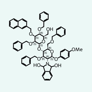 COc1ccc(O[C@@H]2O[C@H](COCc3ccccc3)[C@@H](O[C@@H]3O[C@H](CO)[C@@H](OCc4ccccc4)[C@H](OCc4ccc5ccccc5c4)[C@@H]3OCc3ccccc3)[C@H](OCc3ccccc3)[C@H]2N2C(O)c3ccccc3C2O)cc1